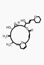 C=C1CC(C)C[C@@H]2CC=CC(C/C=C\C(=O)OC(C(O)/C=C/C3CCCCO3)C[C@@H]3OC3[C@@H](O)C1)O2